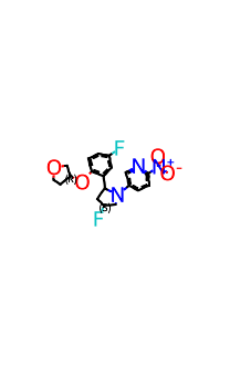 O=[N+]([O-])c1ccc(N2C[C@@H](F)CC2c2cc(F)ccc2O[C@@H]2CCOC2)cn1